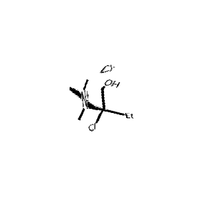 CCC(O)(Cl)[N+](C)(C)C.[Cl-]